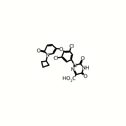 O=C(O)c1nn(-c2cc(Cl)c(Oc3ccc(=O)n(C4CCC4)c3)c(Cl)c2)c(=O)[nH]c1=O